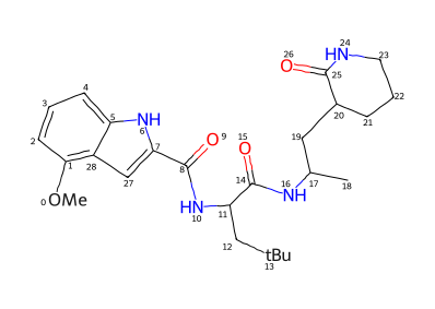 COc1cccc2[nH]c(C(=O)NC(CC(C)(C)C)C(=O)NC(C)CC3CCCNC3=O)cc12